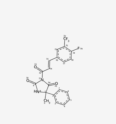 CC1(c2ccccc2)NC(=O)N(C(=O)/C=C/c2ccc(F)c(C(F)(F)F)c2)C1=O